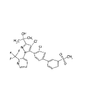 CC(C)(O)c1nn(-c2cccnc2C(F)(F)F)c(-c2ccc(-c3cccc(S(C)(=O)=O)c3)cc2Cl)c1Cl